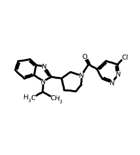 CC(C)n1c(C2CCCN(C(=O)c3cnnc(Cl)c3)C2)nc2ccccc21